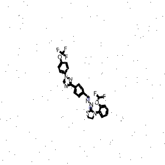 FC(F)Oc1ccccc1N1CCS/C1=N\N=C\c1ccc(-c2ncn(-c3ccc(OC(F)(F)F)cc3)n2)cc1